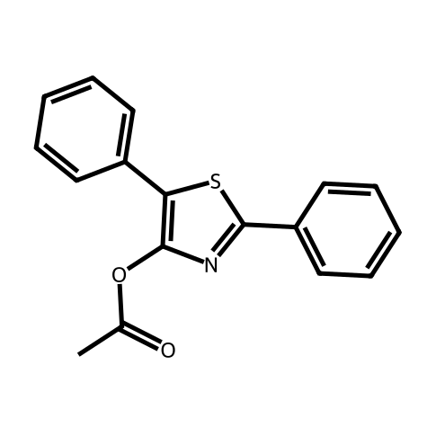 CC(=O)Oc1nc(-c2ccccc2)sc1-c1ccccc1